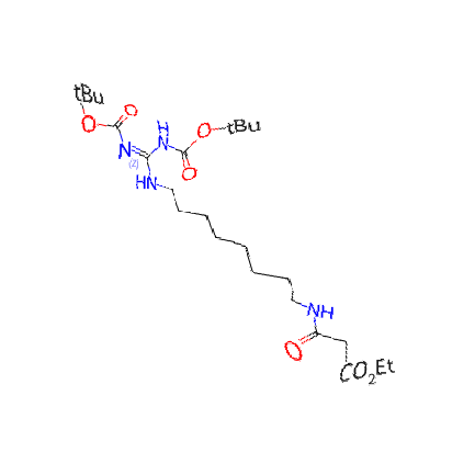 CCOC(=O)CC(=O)NCCCCCCCCN/C(=N/C(=O)OC(C)(C)C)NC(=O)OC(C)(C)C